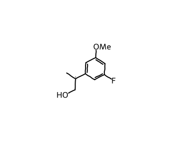 COc1cc(F)cc([C](C)CO)c1